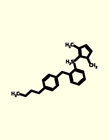 CCCCc1ccc(Cc2ccccc2[SiH2]C2=C(C)C=CC2C)cc1